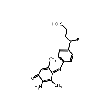 CCN(CCS(=O)(=O)O)c1ccc(N=C2C(C)=CC(=O)C(N)=C2C)cc1